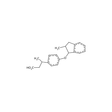 CC(CC(=O)O)c1ccc(OC2c3ccccc3CC2C)cc1